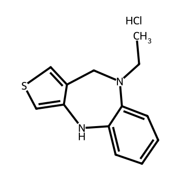 CCN1Cc2cscc2Nc2ccccc21.Cl